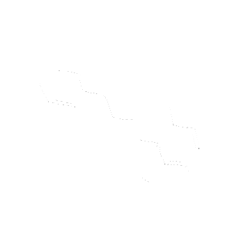 Cc1cccc(OC(=O)O)c1CCCCc1ccccc1